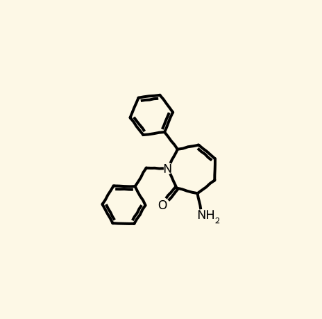 NC1CC=CC(c2ccccc2)N(Cc2ccccc2)C1=O